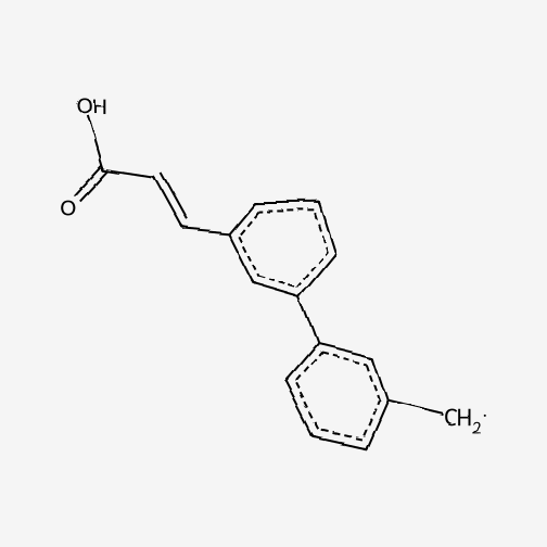 [CH2]c1cccc(-c2cccc(/C=C/C(=O)O)c2)c1